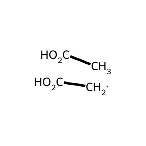 CC(=O)O.[CH2]C(=O)O